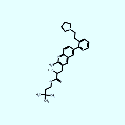 CC(Cc1cc2cc(-c3ncccc3CCN3CCCC3)ccc2nc1N)C(=O)NCCC(C)(C)C